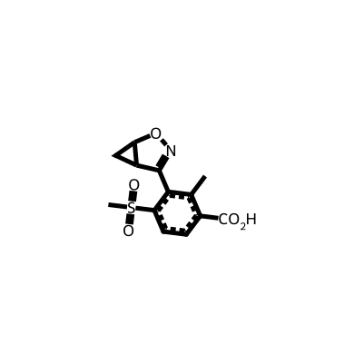 Cc1c(C(=O)O)ccc(S(C)(=O)=O)c1C1=NOC2CC12